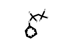 FC(F)(F)CC(F)(F)Oc1c[c]ccc1